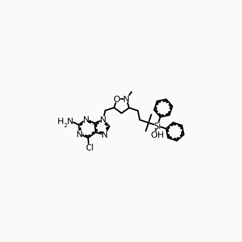 CN1OC(Cn2cnc3c(Cl)nc(N)nc32)CC1CCC(C)(C)[Si](O)(c1ccccc1)c1ccccc1